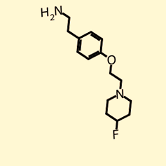 NCCc1ccc(OCCN2CCC(F)CC2)cc1